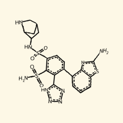 Nc1nc2c(-c3ccc(S(=O)(=O)NC4CC5CNC4C5)c(S(N)(=O)=O)c3-c3nnn[nH]3)cccc2s1